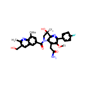 CCOc1c(CC(N)=O)cc([C@@](O)(CNC(=O)c2cc(OC)c3nc(C)c(CO)cc3c2)C(F)(F)F)nc1-c1ccc(F)cc1